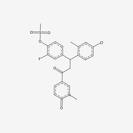 Cc1cc(Cl)ccc1C(CC(=O)c1ccc(=O)n(C)c1)c1ccc(OS(C)(=O)=O)c(F)c1